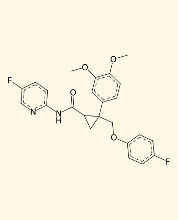 COc1ccc(C2(COc3ccc(F)cc3)CC2C(=O)Nc2ccc(F)cn2)cc1OC